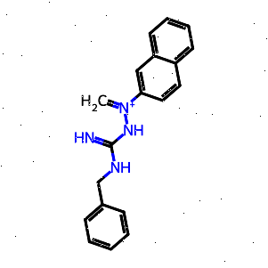 C=[N+](NC(=N)NCc1ccccc1)c1ccc2ccccc2c1